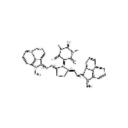 CCCCn1/c(=C/C=C2\CC/C(=C\C=c3/c4cccc5cccc(c54)n3CCCC)C2=C2C(=O)N(C)C(=O)N(C)C2=O)c2cccc3cccc1c32